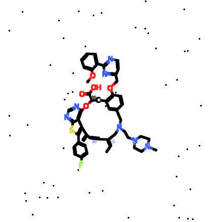 C=C1/C=C\C(=C/C)CN(CCN2CCN(C)CC2)Cc2ccc(OCc3ccnc(-c4ccccc4OC)n3)c(c2)C[C@H](C(=O)O)Oc2ncnc3sc(-c4ccc(F)cc4)c1c23